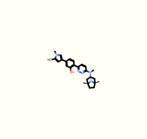 CN(c1ccc(-c2ccc(-c3cc(C#N)n(C)c3)cc2O)nn1)[C@H]1C[C@]2(C)CC[C@](C)(C1)N2